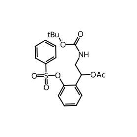 CC(=O)OC(CNC(=O)OC(C)(C)C)c1ccccc1OS(=O)(=O)c1ccccc1